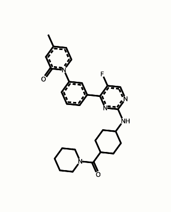 Cc1ccn(-c2cccc(-c3nc(NC4CCC(C(=O)N5CCCCC5)CC4)ncc3F)c2)c(=O)c1